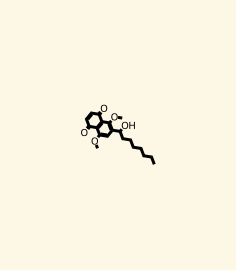 CCCCCCCC(O)c1cc(OC)c2c(c1OC)C(=O)C=CC2=O